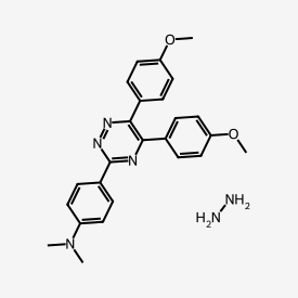 COc1ccc(-c2nnc(-c3ccc(N(C)C)cc3)nc2-c2ccc(OC)cc2)cc1.NN